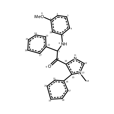 COc1cccc(NC(C(=O)c2ncn(C)c2-c2ccccc2)c2ccccc2)c1